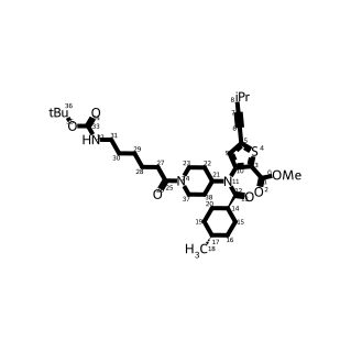 COC(=O)c1sc(C#CC(C)C)cc1N(C(=O)[C@H]1CC[C@H](C)CC1)C1CCN(C(=O)CCCCCNC(=O)OC(C)(C)C)CC1